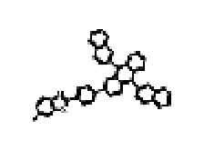 Cc1ccc2nc(-c3ccc(-c4ccc5c(-c6ccc7ccccc7c6)c6ccccc6c(-c6ccc7ccccc7c6)c5c4)cc3)sc2c1